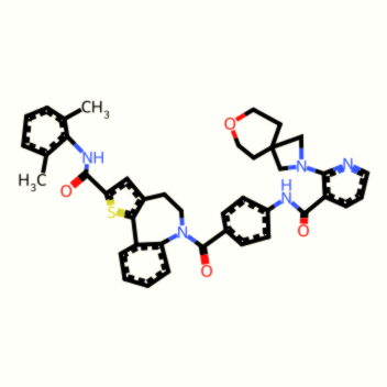 Cc1cccc(C)c1NC(=O)c1cc2c(s1)-c1ccccc1N(C(=O)c1ccc(NC(=O)c3cccnc3N3CC4(CCOCC4)C3)cc1)CC2